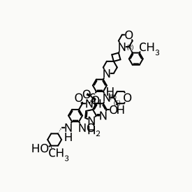 Cc1ccccc1[C@@H]1COCCN1C1CC2(CCN(c3ccc(S(=O)(=O)NC(=O)c4ccc(NC[C@H]5CC[C@](C)(O)CC5)c([N+](=O)[O-])c4)c(N4c5cc6cc[nH]c6nc5O[C@@H]5COCC[C@H]54)c3)CC2)C1